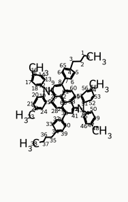 CCCCc1ccc(-c2cc(N(c3ccc(C)cc3)c3ccc(C)cc3)c3ccc4c(-c5ccc(CCCC)cc5)cc(N(c5ccc(C)cc5)c5ccc(C)cc5)c5ccc2c3c45)cc1